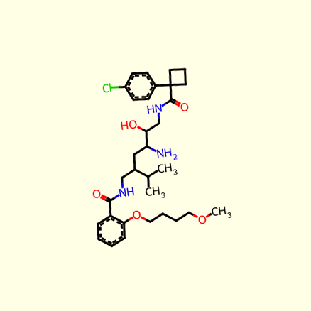 COCCCCOc1ccccc1C(=O)NCC(CC(N)C(O)CNC(=O)C1(c2ccc(Cl)cc2)CCC1)C(C)C